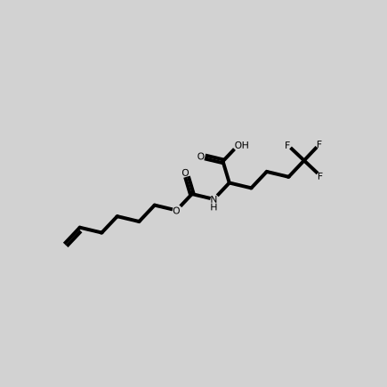 C=CCCCCOC(=O)NC(CCCC(F)(F)F)C(=O)O